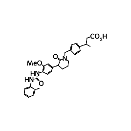 COc1cc(C2CCCN(Cc3ccc(C(C)CC(=O)O)cc3)C2=O)ccc1NC(=O)Nc1ccccc1C